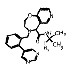 CC(C)(C)NC(=O)C1c2cnccc2OCCN1Cc1ccccc1-c1cncnc1